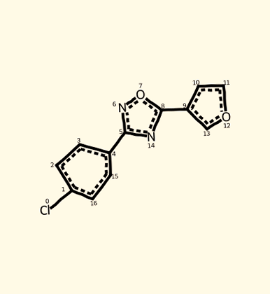 Clc1ccc(-c2noc(-c3ccoc3)n2)cc1